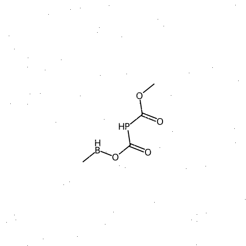 CBOC(=O)PC(=O)OC